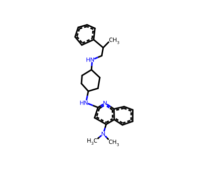 CC(CNC1CCC(Nc2cc(N(C)C)c3ccccc3n2)CC1)c1ccccc1